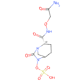 NC(=O)CONC(=O)[C@@H]1CCC2CN1C(=O)N2OS(=O)(=O)O